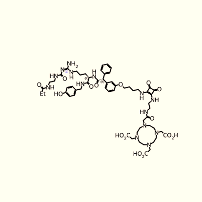 CCC(=O)NCCNC(=O)/N=C(/N)NCCC[C@@H](NC(=O)[C@H](c1ccccc1)c1cccc(OCCCCNc2c(NCCNC(=O)CN3CCN(CC(=O)O)CCN(CC(=O)O)CCN(CC(=O)O)CC3)c(=O)c2=O)c1)C(=O)NCc1ccc(O)cc1